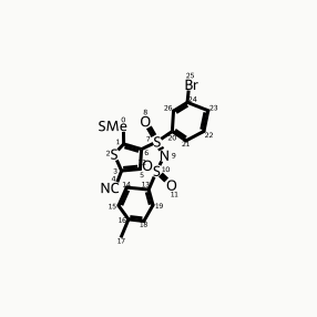 CSc1sc(C#N)cc1S(=O)(=NS(=O)(=O)c1ccc(C)cc1)c1cccc(Br)c1